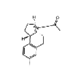 CC(=O)N1C[C@H]2CC[C@H]3c4ccc(C)cc4CC[C@]23C1